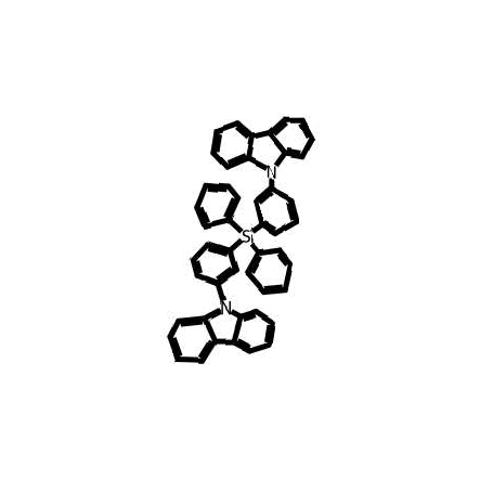 c1ccc([Si](c2ccccc2)(c2cccc(-n3c4ccccc4c4ccccc43)c2)c2cccc(-n3c4ccccc4c4ccccc43)c2)cc1